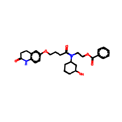 O=C1CCc2cc(OCCCC(=O)N(CCOC(=O)c3ccccc3)C3CCCC(O)C3)ccc2N1